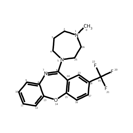 CN1CCCN(C2=Nc3ccccc3Oc3ccc(C(F)(F)F)cc32)CC1